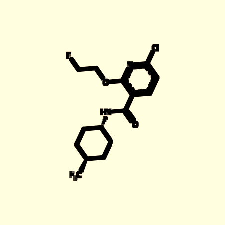 O=C(N[C@H]1CC[C@H](C(F)(F)F)CC1)c1ccc(Cl)nc1OCCF